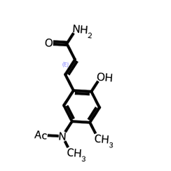 CC(=O)N(C)c1cc(/C=C/C(N)=O)c(O)cc1C